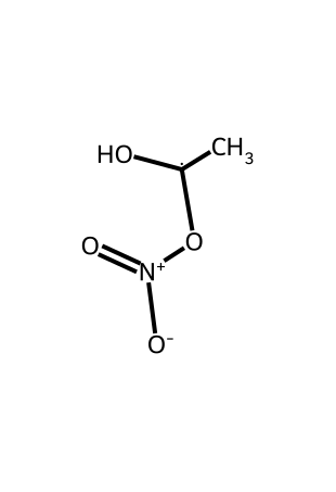 C[C](O)O[N+](=O)[O-]